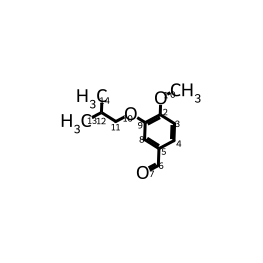 COc1ccc(C=O)cc1OCC(C)C